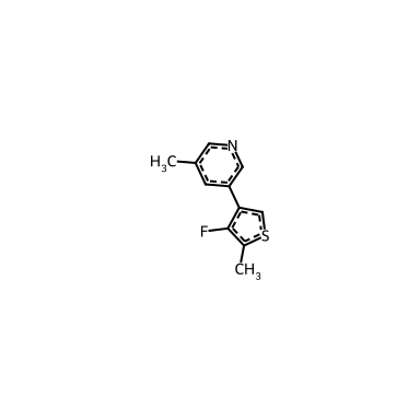 Cc1cncc(-c2csc(C)c2F)c1